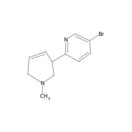 CN1CC=CC(c2ccc(Br)cn2)C1